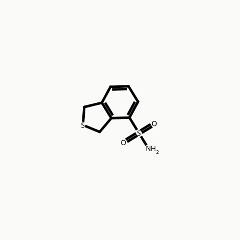 NS(=O)(=O)c1cccc2c1CSC2